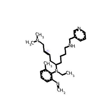 C=Nc1cccc(C)c1N(CC)C(C/C=C/CN(C)C)CCCCNCc1cccnc1